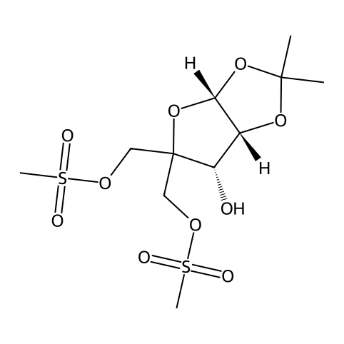 CC1(C)O[C@H]2OC(COS(C)(=O)=O)(COS(C)(=O)=O)[C@@H](O)[C@H]2O1